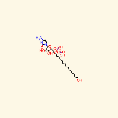 Nc1ccn([C@@H]2O[C@H](C(CCCCCCCCCCCCCCCCO)OP(=O)(O)OP(=O)(O)O)[C@@H](O)[C@H]2O)c(=O)n1